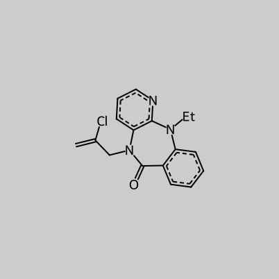 C=C(Cl)CN1C(=O)c2ccccc2N(CC)c2ncccc21